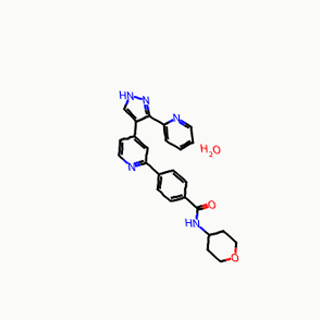 O.O=C(NC1CCOCC1)c1ccc(-c2cc(-c3c[nH]nc3-c3ccccn3)ccn2)cc1